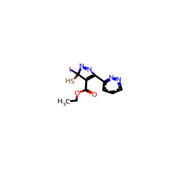 CCOC(=O)C1=C(c2cccnn2)N=NC1(S)I